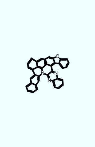 c1ccc2cc3c(cc2c1)-c1cccc2cccc(c12)N3c1nc2ccccc2nc1-c1cccc2oc3ccccc3c12